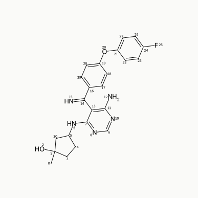 CC1(O)CCC(Nc2ncnc(N)c2C(=N)c2ccc(Oc3ccc(F)cc3)cc2)C1